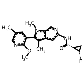 COc1ncc(C)cc1-c1c(C)c2cc(NC(=O)[C@@H]3C[C@@H]3F)ncc2n1C